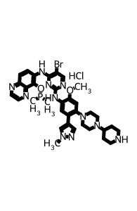 COc1cc(N2CCN(C3CCNCC3)CC2)c(-c2cnn(C)c2)cc1Nc1ncc(Br)c(Nc2ccc3nccnc3c2OP(C)C)n1.Cl